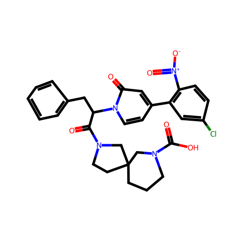 O=C(O)N1CCCC2(CCN(C(=O)C(Cc3ccccc3)n3ccc(-c4cc(Cl)ccc4[N+](=O)[O-])cc3=O)C2)C1